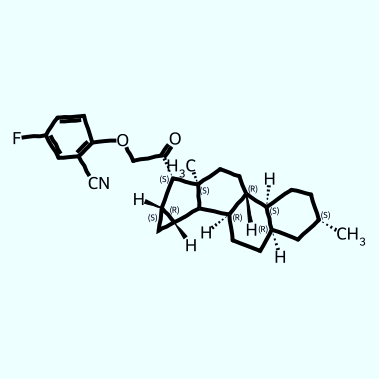 C[C@H]1CC[C@H]2[C@H](CC[C@H]3C4[C@@H]5C[C@@H]5[C@H](C(=O)COc5ccc(F)cc5C#N)[C@@]4(C)CC[C@H]23)C1